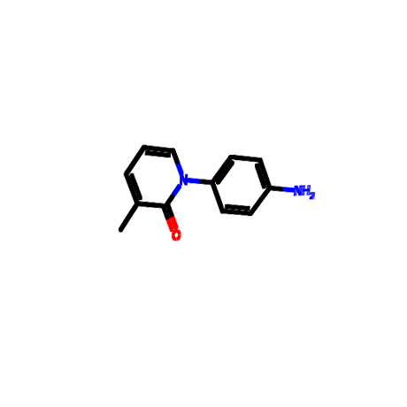 Cc1cccn(-c2ccc(N)cc2)c1=O